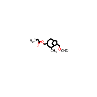 C=CC(=O)OCC1CCC2CC(COC=O)C(C2)C(C)C1